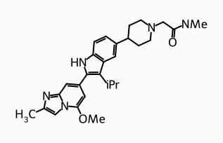 CNC(=O)CN1CCC(c2ccc3[nH]c(-c4cc(OC)n5cc(C)nc5c4)c(C(C)C)c3c2)CC1